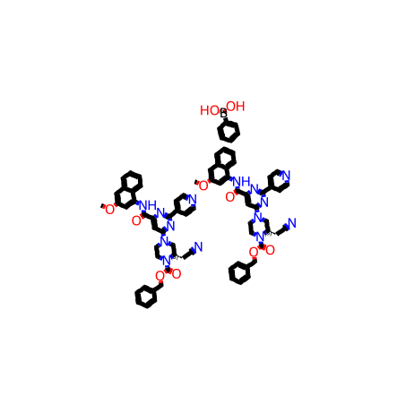 COc1cc(NC(=O)c2cc(N3CCN(C(=O)OCc4ccccc4)[C@@H](CC#N)C3)nc(-c3ccncc3)n2)c2ccccc2c1.COc1cc(NC(=O)c2cc(N3CCN(C(=O)OCc4ccccc4)[C@@H](CC#N)C3)nc(-c3ccncc3)n2)c2ccccc2c1.OB(O)c1ccccc1